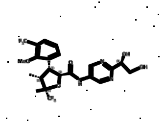 COc1c([C@@H]2[C@@H](C(=O)Nc3cnc([C@@H](O)CO)nc3)O[C@](C)(C(F)(F)F)[C@@H]2C)cccc1C(F)(F)F